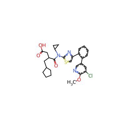 COc1ncc(-c2ccccc2-c2csc(N(C(=O)C(CC(=O)O)CC3CCCC3)C3CC3)n2)cc1Cl